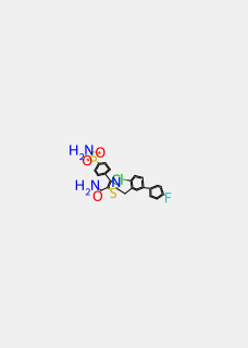 NC(=O)c1sc(Cc2cc(-c3ccc(F)cc3)ccc2Cl)nc1-c1ccc(S(N)(=O)=O)cc1